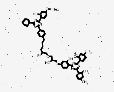 CCCCCCOc1ccc(-c2nc(-c3ccccc3)nc(-c3ccc(CCCCC(CC)COCC(O)COc4ccc(-c5nc(-c6ccc(C)cc6C)nc(-c6ccc(C)cc6C)n5)c(O)c4)cc3)n2)c(O)c1